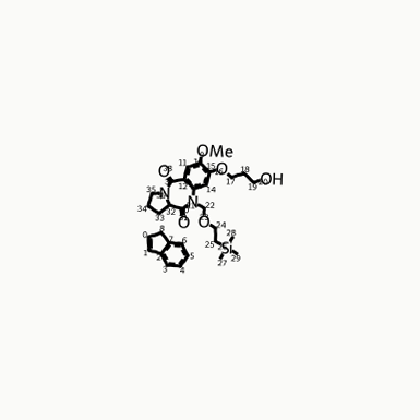 C1=Cc2ccccc2C1.COc1cc2c(cc1OCCCO)N(COCC[Si](C)(C)C)C(=O)C1CCCN1C2=O